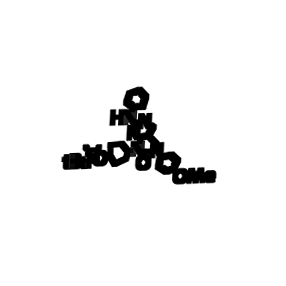 COc1ccc(N2Cc3cnc(Nc4ccccc4)nc3N([C@H]3CC[C@H](O[Si](C)(C)C(C)(C)C)CC3)C2=O)cc1